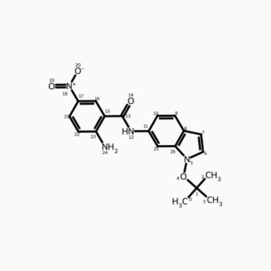 CC(C)(C)On1ccc2ccc(NC(=O)c3cc([N+](=O)[O-])ccc3N)cc21